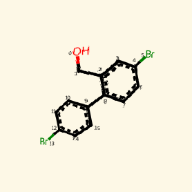 OCc1cc(Br)ccc1-c1ccc(Br)cc1